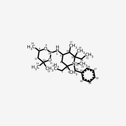 CCC1(C)CC(NP2OC(C)CC(C)(C)O2)C(C)C(C)(CC)[N+]1(C)Cc1ccccc1